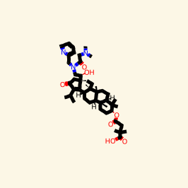 CC(C)C1=C2[C@H]3CC[C@@H]4[C@@]5(C)CC[C@@H](OC(=O)CC(C)(C)C(=O)O)C(C)(C)[C@@H]5CC[C@@]4(C)[C@]3(C)CC[C@@]2([C@@H](O)CN(Cc2ccccn2)C(=O)CN(C)C)CC1=O